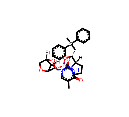 CC[C@@]12COC([C@H](n3cc(C)c(=O)[nH]c3=O)O1)[C@H]2O[P@@]1O[C@H](C[Si](C)(c2ccccc2)c2ccccc2)[C@@H]2CCCN21